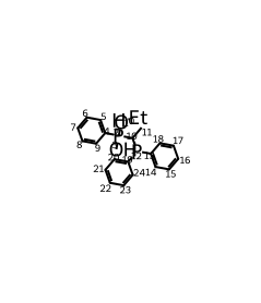 CCO[PH](O)(c1ccccc1)C(C)P(c1ccccc1)c1ccccc1